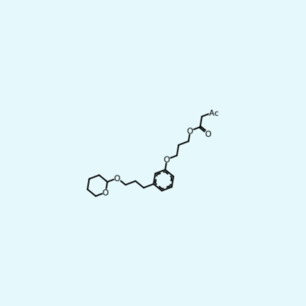 CC(=O)CC(=O)OCCCOc1cccc(CCCOC2CCCCO2)c1